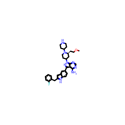 COCC[C@H]1CC(n2nc(-c3ccc4[nH]c(Cc5ccccc5F)cc4c3)c3c(N)ncnc32)CCN1C1CCNCC1